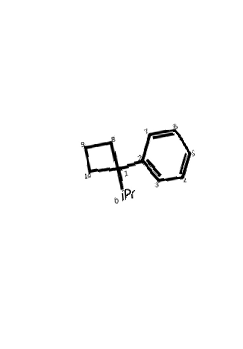 CC(C)C1(c2ccccc2)CCC1